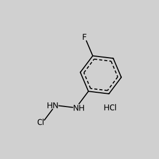 Cl.Fc1cccc(NNCl)c1